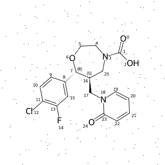 O=C(O)N1CCO[C@@H](c2ccc(Cl)c(F)c2)[C@H](Cn2ccccc2=O)C1